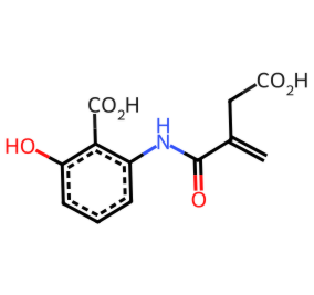 C=C(CC(=O)O)C(=O)Nc1cccc(O)c1C(=O)O